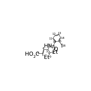 CCC(CC)C(C=CC(=O)O)NC(=O)c1ccccc1I